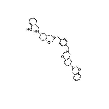 OC1=CC=CCC1CNc1ccc2c(c1)CN(Cc1ccc(CN3COc4ccc(N5COc6ccccc6C5)cc4C3)cc1)CO2